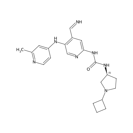 Cc1cc(Nc2cnc(NC(=O)N[C@H]3CCN(C4CCC4)C3)cc2C=N)ccn1